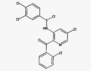 O=C(c1ccccc1Cl)c1ncc(Cl)cc1N[S+]([O-])c1ccc(Cl)c(Cl)c1